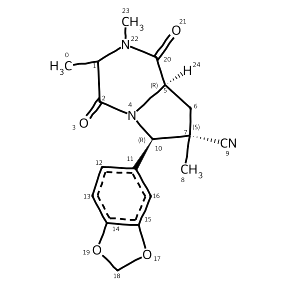 CC1C(=O)N2[C@H](C[C@](C)(C#N)[C@H]2c2ccc3c(c2)OCO3)C(=O)N1C